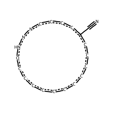 N#Cc1ccccccccccco[nH]nncccc1